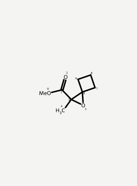 COC(=O)C1(C)OC12CCC2